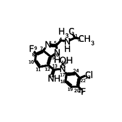 CC(C)NCc1nc2c(F)ccc(C(=N)N(O)c3ccc(F)c(Cl)c3)c2[nH]1